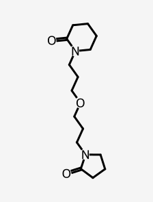 O=C1CCCCN1CCCOCCCN1CCCC1=O